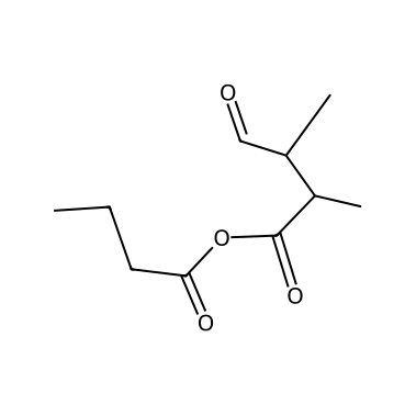 CCCC(=O)OC(=O)C(C)C(C)C=O